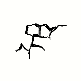 CCC(C)C(=O)c1cccc2cc(C)[nH]c12